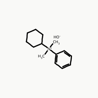 C[N+](C)(c1ccccc1)C1CCCCC1.[OH-]